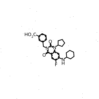 O=C(O)c1cccc(Cn2c(=O)c3cc(F)c(NC4CCCCC4)cc3n(C3CCCC3)c2=O)c1